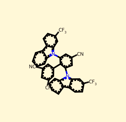 N#Cc1cc(-c2c(-n3c4ccccc4c4ccc(C(F)(F)F)cc43)cc(C#N)cc2-n2c3ccccc3c3ccc(C(F)(F)F)cc32)cc(C(F)(F)F)c1